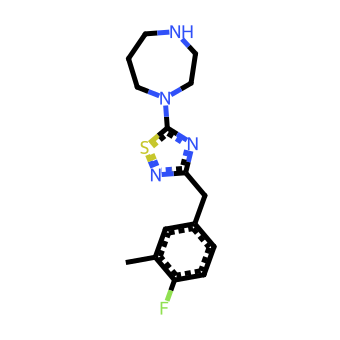 Cc1cc(Cc2nsc(N3CCCNCC3)n2)ccc1F